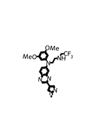 COc1cc(OC)cc(N(CCNCC(F)(F)F)c2ccc3ncc(-c4cnn(C)c4)nc3c2)c1